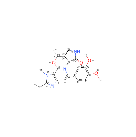 CCc1nc2cc(-c3ccc(OC)c(OC)c3)nc(O[C@H](C)[C@H]3CNC(=O)C3)c2n1C